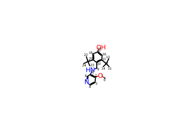 COc1ccncc1NCc1c(C(C)(C)C)cc(O)cc1C(C)(C)C